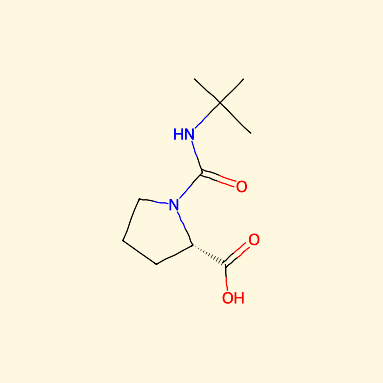 CC(C)(C)NC(=O)N1CCC[C@H]1C(=O)O